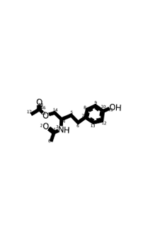 CC(=O)NC(CCc1ccc(O)cc1)COC(C)=O